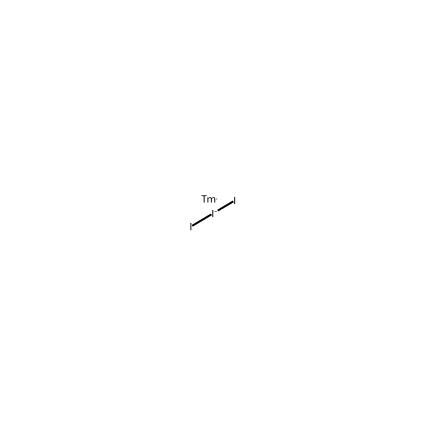 I[I-]I.[Tm]